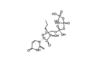 C=C1NC(=O)C=CN1[C@@H]1O[C@](CCC)(COP(=O)(O)OP(=O)(O)OP(=O)(O)O)[C@@H](O)[C@H]1Cl